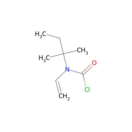 C=CN(C(=O)Cl)C(C)(C)CC